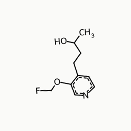 CC(O)CCc1ccncc1OCF